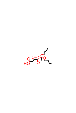 CCCCOC(C)(OCCCC)OC(=O)C(O)CC(=O)O